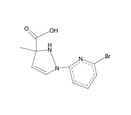 CC1(C(=O)O)C=CN(c2cccc(Br)n2)N1